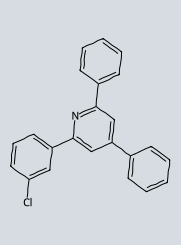 Clc1cccc(-c2cc(-c3ccccc3)cc(-c3ccccc3)n2)c1